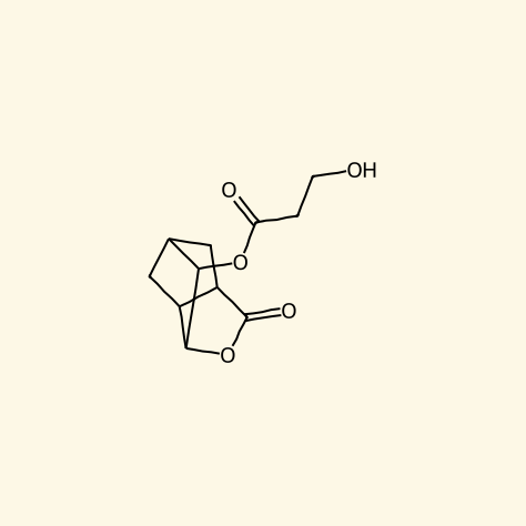 O=C(CCO)OC1C2CC3C(=O)OC1C3C2